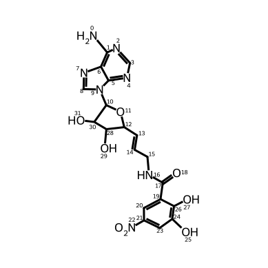 Nc1ncnc2c1ncn2C1OC(C=CCNC(=O)c2cc([N+](=O)[O-])cc(O)c2O)C(O)C1O